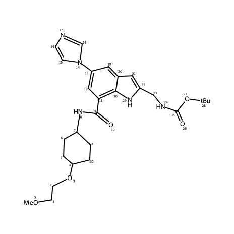 COCCOC1CCC(NC(=O)c2cc(-n3ccnc3)cc3cc(CNC(=O)OC(C)(C)C)[nH]c23)CC1